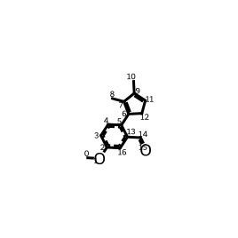 COc1ccc(C2=C(C)C(C)=CC2)c(C=O)c1